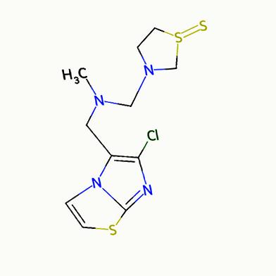 CN(Cc1c(Cl)nc2sccn12)CN1CCS(=S)C1